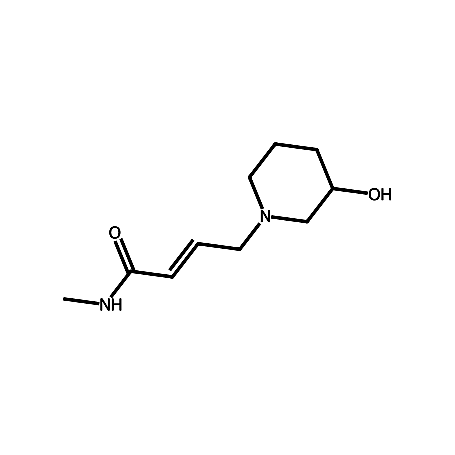 CNC(=O)/C=C/CN1CCCC(O)C1